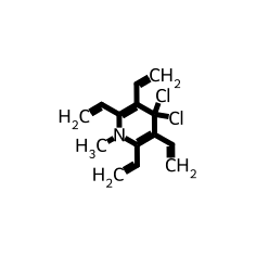 C=CC1=C(C=C)C(Cl)(Cl)C(C=C)=C(C=C)N1C